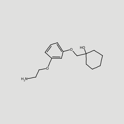 NCCOc1cccc(OCC2(O)CCCCC2)c1